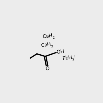 CCC(=O)O.[CaH2].[CaH2].[PbH2]